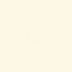 CN(c1ncnc2c(N3CC[S+]([O-])CC3)nc(Cl)nc12)C1CCCCC1